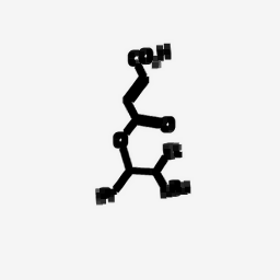 CCCCC(CC)C(OC(=O)/C=C/C(=O)O)C(C)C